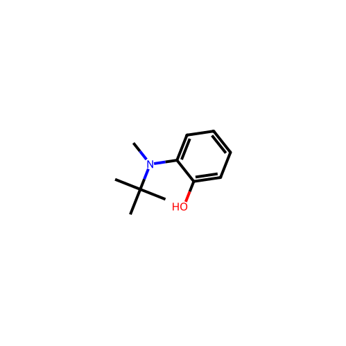 CN(c1ccccc1O)C(C)(C)C